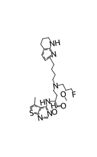 COC(CF)CN(CCCCc1ccc2c(n1)NCCC2)CCC(Nc1ncnc2scc(C)c12)C(=O)O